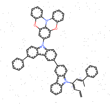 C=C/C=C(\C=C(/C)c1ccccc1)n1c2ccccc2c2cc(-c3ccc4c(c3)c3cc(-c5ccccc5)ccc3n4-c3cc4c5c(c3)Oc3ccccc3N5c3ccccc3O4)ccc21